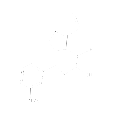 C=CN1CCCC1C(CC)C(C)CCc1cccc(NC)c1